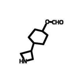 O=COC1CCC(C2CNC2)CC1